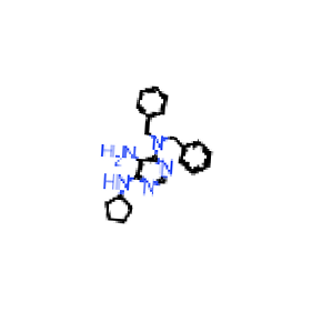 Nc1c(NC2CCCC2)ncnc1N(Cc1ccccc1)Cc1ccccc1